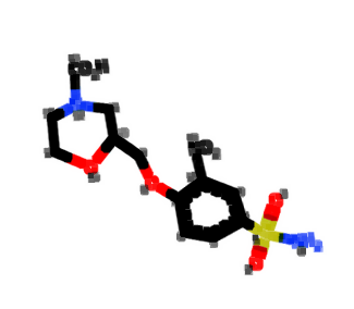 NS(=O)(=O)c1ccc(OCC2CN(C(=O)O)CCO2)c([N+](=O)[O-])c1